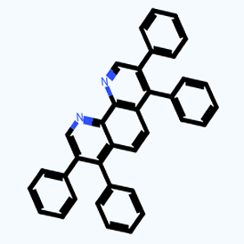 c1ccc(-c2cnc3c(ccc4c(-c5ccccc5)c(-c5ccccc5)cnc43)c2-c2ccccc2)cc1